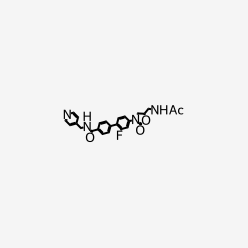 CC(=O)NCC1CN(c2ccc(-c3ccc(C(=O)NCc4ccncc4)cc3)c(F)c2)C(=O)O1